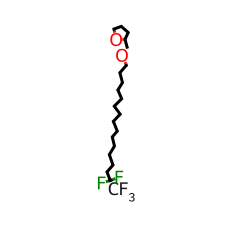 FC(F)(F)C(F)(F)CCCCCCCCCCCCCCOCC1CCCO1